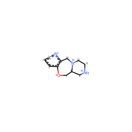 c1cnc2c(c1)OCC1CNCCN1C2